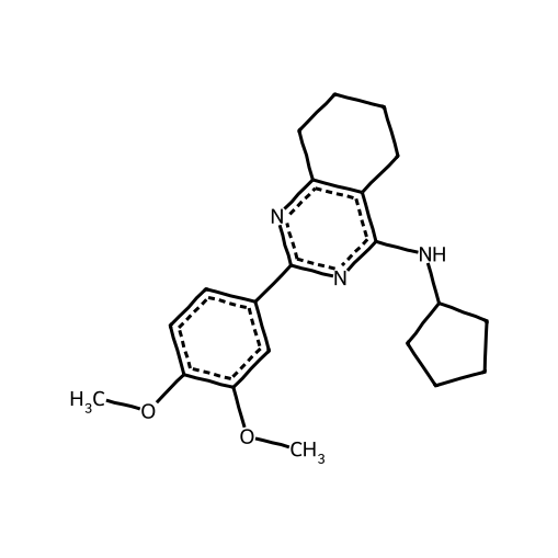 COc1ccc(-c2nc3c(c(NC4CCCC4)n2)CCCC3)cc1OC